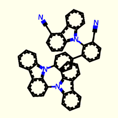 N#Cc1cccc(-c2ccc(-n3c4ccccc4c4cccc(-n5c6ccccc6c6ccccc65)c43)cc2)c1-n1c2ccccc2c2c(C#N)cccc21